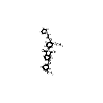 COc1cc(N2C(=O)c3ccc(Oc4cccc(C)c4)cc3C2=O)ccc1OCCN1CCCC1